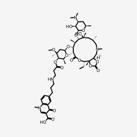 CC[C@@H]1OC(=O)[C@H](C)[C@H](O[C@@H]2C[C@](C)(OC)[C@H](OC(=O)CCNCCCc3ccc4c(c3)c(=O)c(C(=O)O)cn4C)[C@H](C)O2)[C@@H](C)[C@H](O[C@@H]2O[C@H](C)C[C@H](N(C)C)[C@@H]2O)[C@](C)(O)C[C@H](C)CN(C)[C@H](C)[C@H]2OC(=O)O[C@]12C